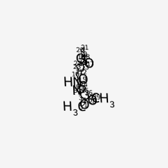 COc1cc2nc(NC(=O)Cc3ccc(S(=O)(=O)CC4CC4)cc3)sc2cc1OC